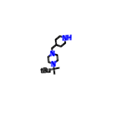 CC(C)(C)C(C)(C)N1CCN(CC2CCNCC2)CC1